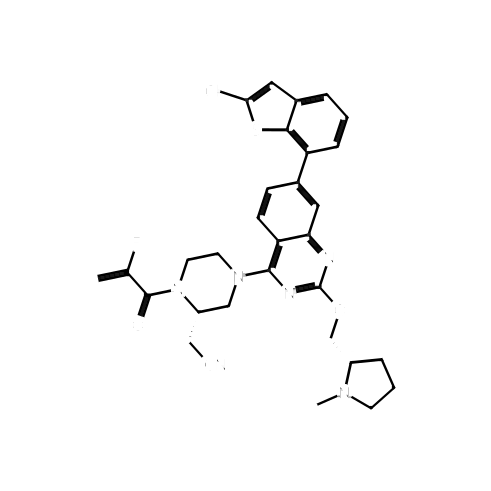 C=C(F)C(=O)N1CCN(c2nc(OC[C@@H]3CCCN3C)nc3cc(-c4cccc5cc(Cl)sc45)ccc23)C[C@@H]1CC#N